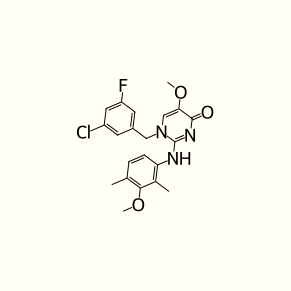 COc1c(C)ccc(Nc2nc(=O)c(OC)cn2Cc2cc(F)cc(Cl)c2)c1C